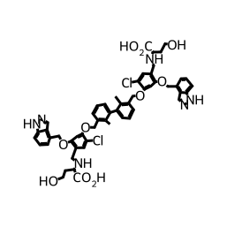 Cc1c(COc2cc(OCc3cccc4[nH]ncc34)c(CNC(CCO)C(=O)O)cc2Cl)cccc1-c1cccc(COc2cc(OCc3cccc4[nH]ncc34)c(CNC(CCO)C(=O)O)cc2Cl)c1C